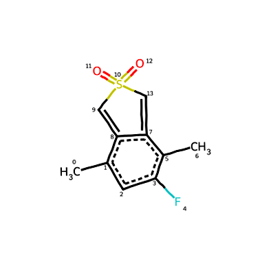 Cc1cc(F)c(C)c2c1=CS(=O)(=O)C=2